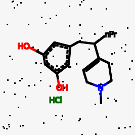 CCCC(Cc1cc(O)cc(O)c1)C1=CCN(C)CC1.Cl